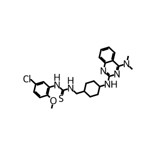 COc1ccc(Cl)cc1NC(=S)NCC1CCC(Nc2nc(N(C)C)c3ccccc3n2)CC1